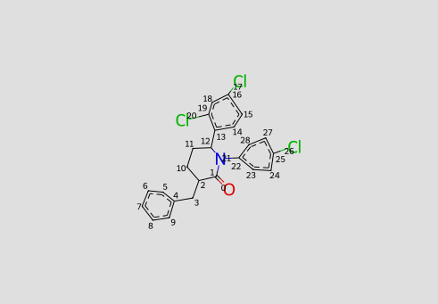 O=C1C(Cc2ccccc2)CCC(c2ccc(Cl)cc2Cl)N1c1ccc(Cl)cc1